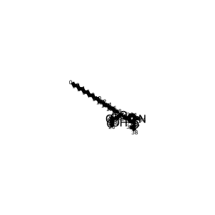 CCCCCCCCCCCCCCCCCCC[C@H](COP(=O)(O)OC)OCc1ccc(C#N)c(OC(C)C)c1